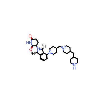 [2H]C1c2cccc(N3CCC(CN4CCC(CC5CCNCC5)CC4)CC3)c2C([2H])N1C1CCC(=O)NC1=O